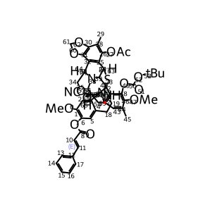 COc1cc2c(cc1OC(=O)/C=C/c1ccccc1)CCN[C@]21CS[C@@H]2c3c(OC(C)=O)c(C)c4c(c3[C@H](COC1=O)N1C2C2c3c(cc(C)c(OC)c3OC(=O)OC(C)(C)C)C[C@@H]([C@@H]1C#N)N2C)OCO4